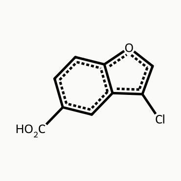 O=C(O)c1ccc2occ(Cl)c2c1